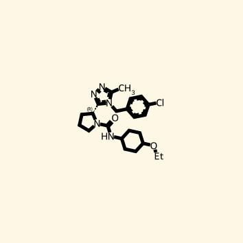 CCOC1CCC(NC(=O)N2CCC[C@@H]2c2nnc(C)n2Cc2ccc(Cl)cc2)CC1